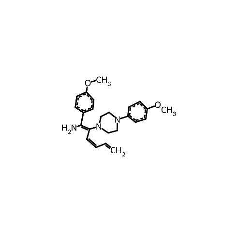 C=C/C=C\C(=C(/N)c1ccc(OC)cc1)N1CCN(c2ccc(OC)cc2)CC1